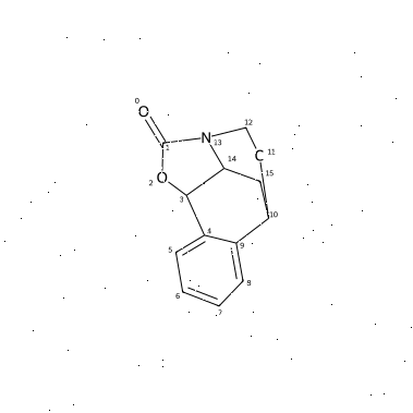 O=C1OC2c3ccccc3C3CCN1C2C3